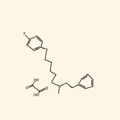 CN(CCCCCSc1ccc(F)cc1)CCc1ccccc1.O=C(O)C(=O)O